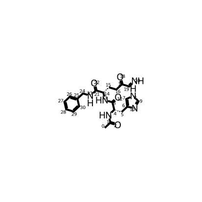 CC(=O)N[C@@H](Cc1c[nH]cn1)C(=O)N[C@@H](CCC(=O)C=N)C(=O)NCc1ccccc1